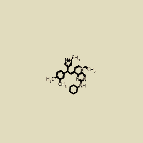 C=CN/C=C\C(=C/C(c1ccc(C)c(C)c1)c1cnn(C)c1)c1nc(NC2CCCCC2)ncc1F